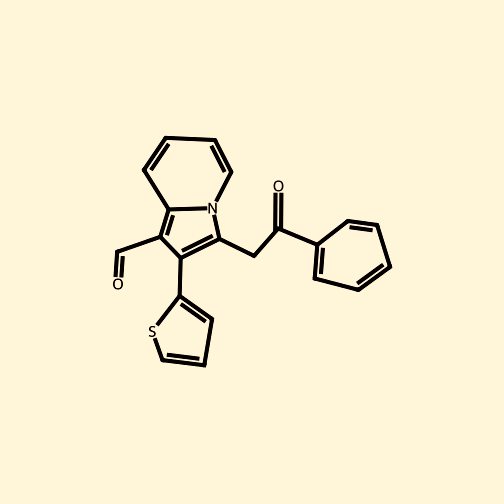 O=Cc1c(-c2cccs2)c(CC(=O)c2ccccc2)n2ccccc12